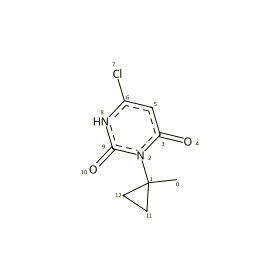 CC1(n2c(=O)cc(Cl)[nH]c2=O)CC1